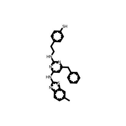 Cc1ccc2nc(Nc3cc(Cc4ccccc4)nc(NCCc4ccc(S)cc4)n3)sc2c1